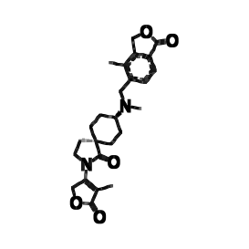 CC1=C(N2CC[C@]3(CC[C@H](N(C)Cc4ccc5c(c4C)COC5=O)CC3)C2=O)COC1=O